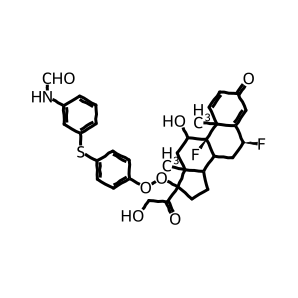 CC12CC(O)[C@@]3(F)C(C[C@H](F)C4=CC(=O)C=CC43C)C1CCC2(OOc1ccc(Sc2cccc(NC=O)c2)cc1)C(=O)CO